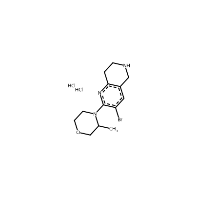 CC1COCCN1c1nc2c(cc1Br)CNCC2.Cl.Cl